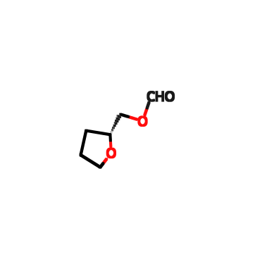 O=COC[C@H]1CCCO1